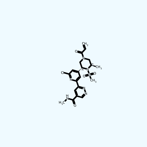 C=CC(=O)N1C[C@@H](C)N(S(C)(=O)=O)[C@H](c2cc(Cl)nc(-c3cc(C(=O)NC)cnn3)c2)C1